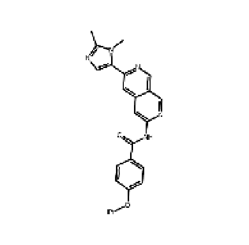 Cc1ncc(-c2cc3cc(NC(=O)c4ccc(OC(C)C)cc4)ncc3cn2)n1C